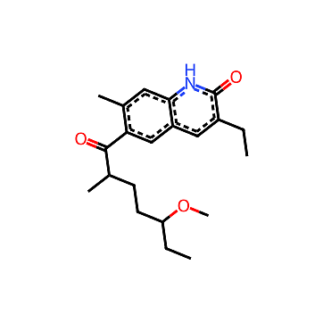 CCc1cc2cc(C(=O)C(C)CCC(CC)OC)c(C)cc2[nH]c1=O